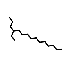 [CH2]CCC(CC)CCCCCCCCCCC